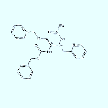 CC(C)(C)[S@@+]([O-])N[C@H](Cc1ccccn1)[C@H](COCc1ccccc1)NC(=O)OCc1ccccc1